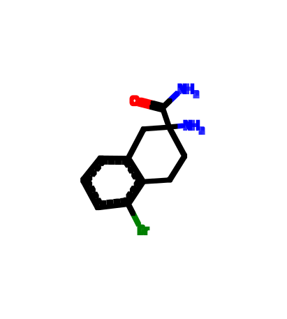 NC(=O)C1(N)CCc2c(Br)cccc2C1